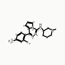 CN1CCCC(Nc2nnc(-c3ccc(C(F)(F)F)cc3F)c3cccn23)C1